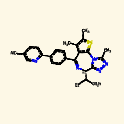 CCC(C(=O)O)[C@@H]1N=C(c2ccc(-c3ccc(C#N)cn3)cc2)c2c(sc(C)c2C)-n2c(C)nnc21